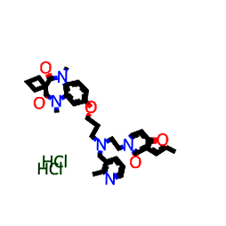 Cc1cc2c(=O)n(CCN(CCCOc3ccc4c(c3)N(C)C(=O)C3(CCC3)C(=O)N4C)Cc3cccnc3C)ccc2o1.Cl.Cl